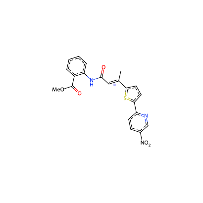 COC(=O)c1ccccc1NC(=O)/C=C(\C)c1ccc(-c2ccc([N+](=O)[O-])cn2)s1